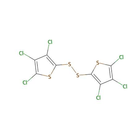 Clc1sc(SSc2sc(Cl)c(Cl)c2Cl)c(Cl)c1Cl